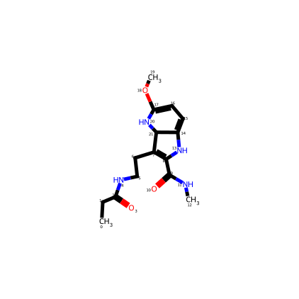 CCC(=O)NCCC1=C(C(=O)NC)NC2=CC=C(OC)NC21